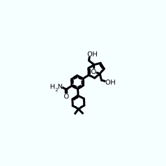 CC1(C)CC=C(c2cc(C3=CC4(CO)C=CC(CO)(C3)O4)ccc2C(N)=O)CC1